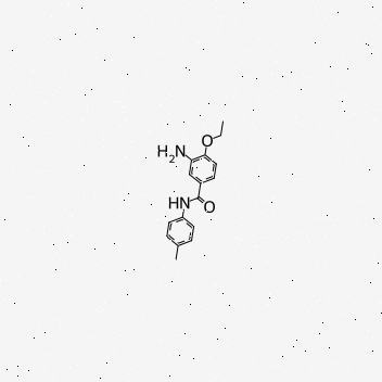 CCOc1ccc(C(=O)Nc2ccc(C)cc2)cc1N